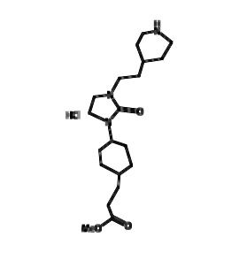 COC(=O)CCC1CCC(N2CCN(CCC3CCNCC3)C2=O)CC1.Cl